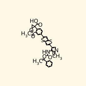 C[C@@H](OC(=O)Nc1c(-c2cc3sc(-c4ccc(C5(C(=O)O)CC5)c(S(C)(=O)=O)c4)cc3s2)cnn1C)c1ccccc1